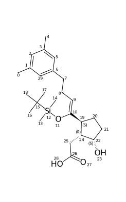 Cc1cc(C)cc(CCC=C(O[Si](C)(C)C(C)(C)C)[C@H]2CC[C@H](O)[C@@H]2CC(=O)O)c1